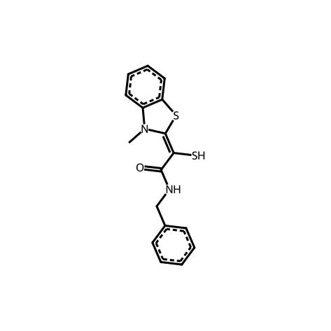 CN1/C(=C(/S)C(=O)NCc2ccccc2)Sc2ccccc21